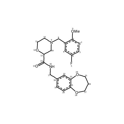 COc1ncc(F)cc1CN1CCOC(C(=O)NCc2ccc3c(c2)OCCCO3)C1